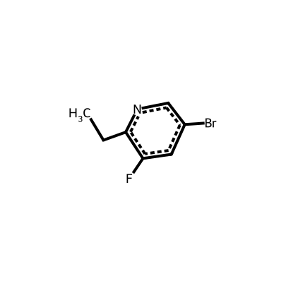 CCc1ncc(Br)cc1F